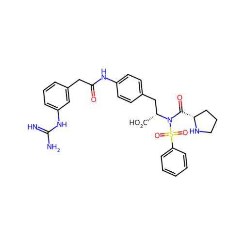 N=C(N)Nc1cccc(CC(=O)Nc2ccc(C[C@@H](C(=O)O)N(C(=O)[C@@H]3CCCN3)S(=O)(=O)c3ccccc3)cc2)c1